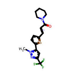 Cn1nc(C(F)(F)F)cc1-c1ccc(/C=C/C(=O)N2CCCCC2)s1